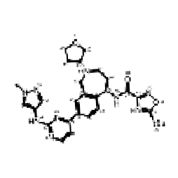 Cn1cc(Nc2nccc(-c3ccc4c(c3)CN([C@@H]3CCOC3)CC[C@H]4NC(=O)c3noc(C(C)(C)C)n3)n2)cn1